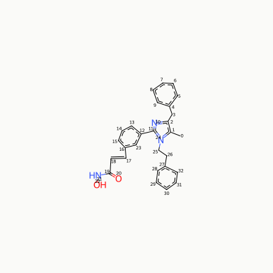 Cc1c(Cc2ccccc2)nc(-c2cccc(C=CC(=O)NO)c2)n1CCc1ccccc1